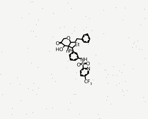 CCCC1(C(CC)c2cccc(NS(=O)(=O)c3ccc(C(F)(F)F)cn3)c2)C(CCc2ccccc2)OCC(=O)C1O